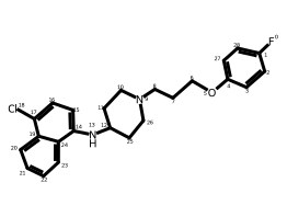 Fc1ccc(OCCCN2CCC(Nc3ccc(Cl)c4ccccc34)CC2)cc1